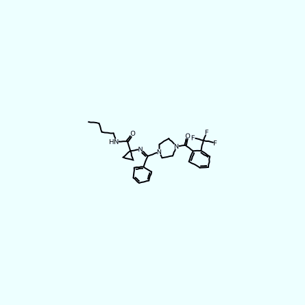 CCCCNC(=O)C1(N=C(c2ccccc2)N2CCN(C(=O)c3ccccc3C(F)(F)F)CC2)CC1